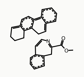 C1=c2ccc3c(c2CCC1)CC=c1ccccc1=3.COC(=O)C1=NC=Cc2ccccc2C1